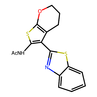 CC(=O)Nc1sc2c(c1-c1nc3ccccc3s1)CCCO2